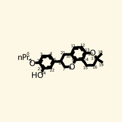 CCCOc1ccc(C2COc3c(ccc4c3CCC(C)(C)O4)C2)cc1O